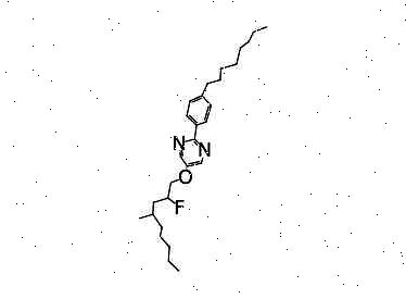 CCCCCCCCc1ccc(-c2ncc(OCC(F)CC(C)CCCCC)cn2)cc1